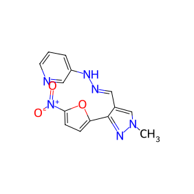 Cn1cc(/C=N/Nc2cccnc2)c(-c2ccc([N+](=O)[O-])o2)n1